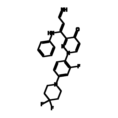 N=C/C=C(\Nc1ccccc1)c1nn(-c2ccc(N3CCC(F)(F)CC3)cc2F)ccc1=O